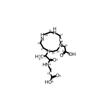 CC(C(=O)NCCC(=O)O)N1CCNCCNCCN(CC(=O)O)CC1